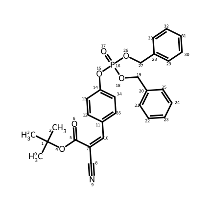 CC(C)(C)OC(=O)C(C#N)=Cc1ccc(OP(=O)(OCc2ccccc2)OCc2ccccc2)cc1